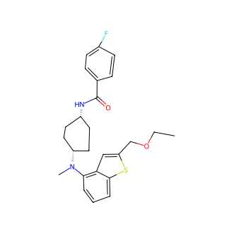 CCOCc1cc2c(N(C)[C@H]3CC[C@@H](NC(=O)c4ccc(F)cc4)CC3)cccc2s1